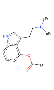 CCCN(CCC)CCc1c[nH]c2cccc(OC(=O)CC)c12